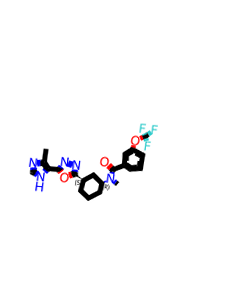 Cc1nc[nH]c1-c1nnc([C@H]2CCC[C@@H](N(C)C(=O)c3cccc(OC(F)(F)F)c3)C2)o1